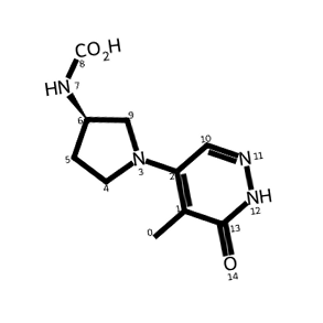 Cc1c(N2CC[C@@H](NC(=O)O)C2)cn[nH]c1=O